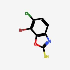 Sc1nc2ccc(Cl)c(Br)c2o1